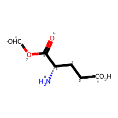 N[C@@H](CCC(=O)O)C(=O)O[C]=O